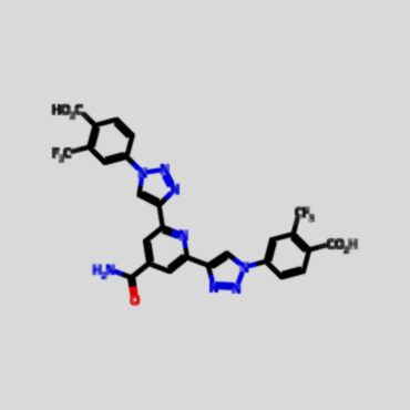 NC(=O)c1cc(-c2cn(-c3ccc(C(=O)O)c(C(F)(F)F)c3)nn2)nc(-c2cn(-c3ccc(C(=O)O)c(C(F)(F)F)c3)nn2)c1